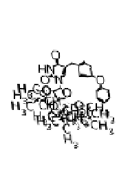 CC(C)(C)[Si](C)(C)OC[C@H]1O[C@@H](n2cc(Cc3ccc(Oc4ccccc4)cc3)c(=O)[nH]c2=O)[C@H](O[Si](C)(C)C(C)(C)C)[C@@H]1O[Si](C)(C)C(C)(C)C